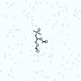 CP(C)(=O)CC(COC=O)OC=O